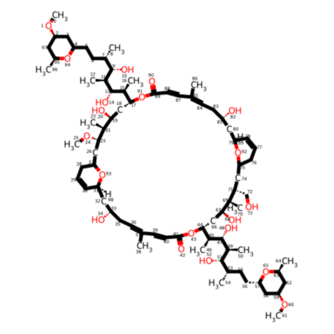 CO[C@H]1CC(CC[C@H](C)[C@H](O)[C@H](C)[C@@H](O)[C@@H](C)[C@H]2C[C@H](O)[C@H](C)[C@@H](OC)CC3CC=C[C@H](C[C@@H](O)C/C=C(C)/C=C/C(=O)O[C@@H]([C@H](C)[C@H](O)[C@@H](C)[C@@H](O)[C@@H](C)CC[C@H]4C[C@H](OC)C[C@H](C)O4)C[C@H](O)[C@H](C)[C@@H](CO)CC4CC=C[C@@H](C[C@@H](O)C/C=C(C)/C=C/C(=O)O2)O4)O3)O[C@@H](C)C1